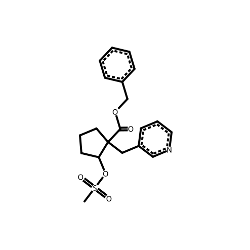 CS(=O)(=O)OC1CCCC1(Cc1cccnc1)C(=O)OCc1ccccc1